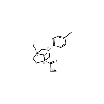 COC(=O)[C@@]12CC[C@@H](C[C@H](c3ccc(C)cc3)C1)N2C